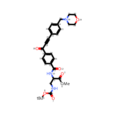 COC(=O)C(CNC(=O)OC(C)(C)C)NC(=O)c1ccc(C(=O)C#Cc2ccc(CN3CCOCC3)cc2)cc1